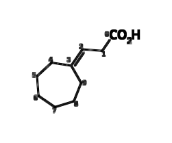 O=C(O)CC=C1CCCCCC1